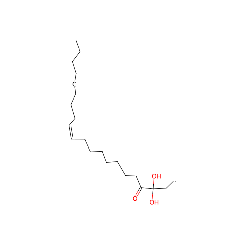 [CH2]CC(O)(O)C(=O)CCCCCCC/C=C\CCCCCCCC